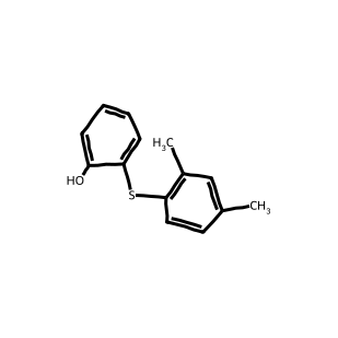 Cc1ccc(Sc2ccccc2O)c(C)c1